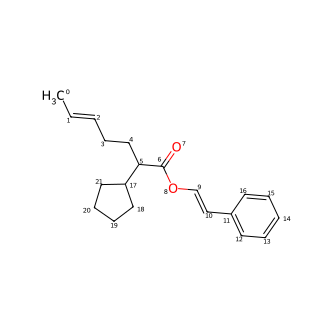 CC=CCCC(C(=O)OC=Cc1ccccc1)C1CCCC1